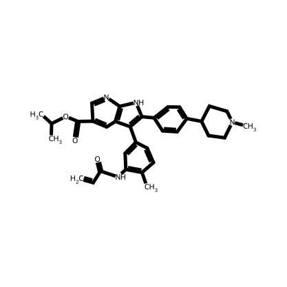 C=CC(=O)Nc1cc(-c2c(-c3ccc(C4CCN(C)CC4)cc3)[nH]c3ncc(C(=O)OC(C)C)cc23)ccc1C